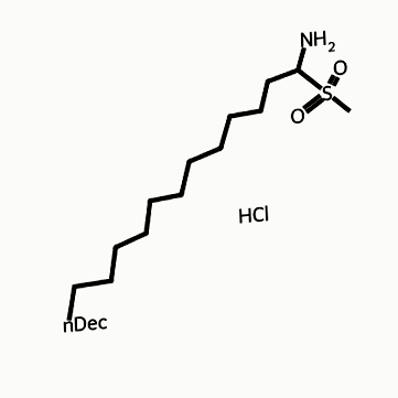 CCCCCCCCCCCCCCCCCCCCCC(N)S(C)(=O)=O.Cl